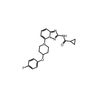 O=C(Nc1nc2cccc(N3CCC(Oc4ccc(F)cc4)CC3)n2n1)C1CC1